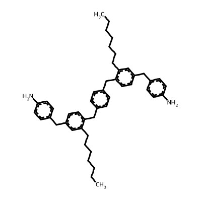 CCCCCCCc1cc(Cc2ccc(N)cc2)ccc1Cc1ccc(Cc2ccc(Cc3ccc(N)cc3)cc2CCCCCCC)cc1